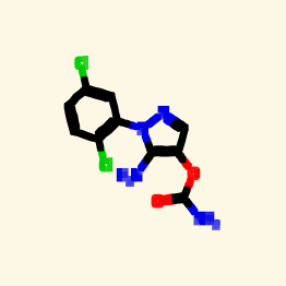 NC(=O)Oc1cnn(-c2cc(Cl)ccc2Cl)c1N